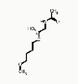 COCCCCO[C@H](O)CNC(C)=O